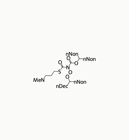 CCCCCCCCCCC(CCCCCCCCC)OON(C(=O)OC(CCCCCCCCC)CCCCCCCCC)C(=O)SCCCNC